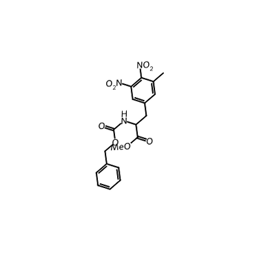 COC(=O)C(Cc1cc(C)c([N+](=O)[O-])c([N+](=O)[O-])c1)NC(=O)OCc1ccccc1